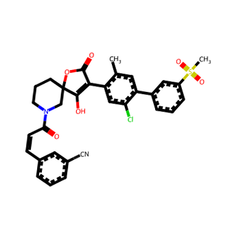 Cc1cc(-c2cccc(S(C)(=O)=O)c2)c(Cl)cc1C1=C(O)C2(CCCN(C(=O)/C=C\c3cccc(C#N)c3)C2)OC1=O